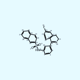 O=S(=O)(Nc1cccc(C2=NCCc3cc(F)ccc32)c1)c1ccc2ccccc2c1